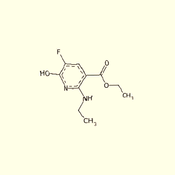 CCNc1nc(O)c(F)cc1C(=O)OCC